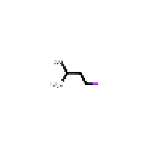 CC(C)(C)C(CCI)C(=O)O